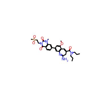 CCCN(CCC)C(=O)C1=Cc2c(cc(-c3ccc4c(=O)n(CCS(C)(=O)=O)c(=O)n(C)c4c3)cc2OC)N=C(N)C1